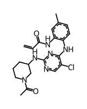 C=CC(=O)Nc1cc(C)ccc1Nc1nc(NC2CCCN(C(C)=O)C2)ncc1Cl